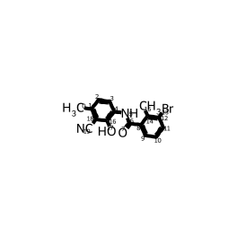 Cc1ccc(NC(=O)c2cccc(Br)c2C)c(O)c1C#N